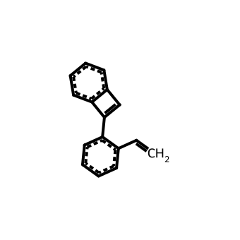 C=Cc1ccccc1C1=Cc2ccccc21